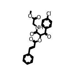 COC(=O)CNC(=O)C(OC(=O)C=Cc1ccccc1)C(=O)c1ccc(Cl)cc1